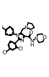 O=C(NN1CCOCC1)c1nc(-c2ccc(Cl)cc2Cl)n(-c2ccc(I)cc2)c1CN1CCCC1